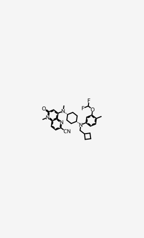 Cc1ccc(N(CC2CCC2)[C@H]2CC[C@@H](N(C)c3cc(=O)n(C)c4ccc(C#N)nc34)CC2)cc1OC(F)F